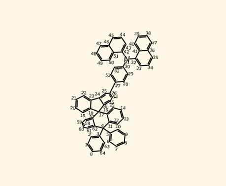 c1ccc(C2(c3ccccc3)c3ccccc3C3(c4ccccc4-c4cc(-c5ccc(N(c6cccc7ccccc67)c6cccc7ccccc67)cc5)ccc43)c3ccccc32)cc1